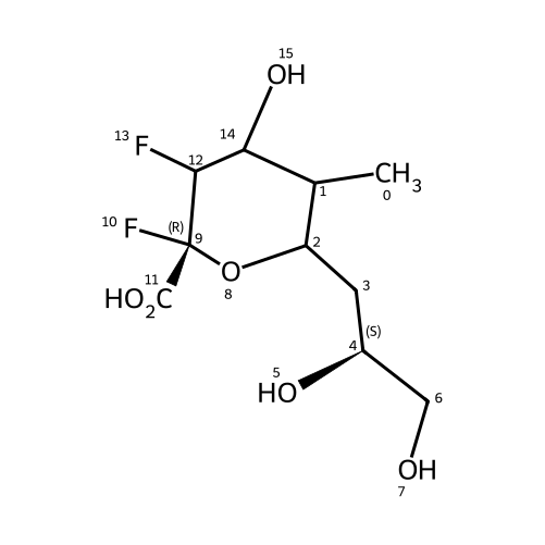 CC1C(C[C@H](O)CO)O[C@@](F)(C(=O)O)C(F)C1O